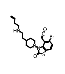 C=CCCNCCC1CCN(n2c(=O)sc3ccc(Br)c(C=C=O)c32)CC1